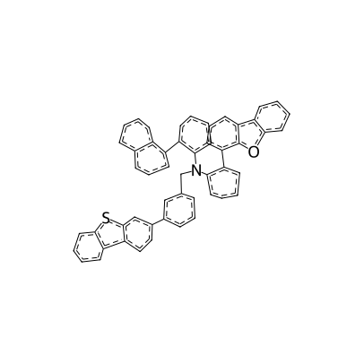 c1cc(CN(c2ccccc2-c2cccc3ccccc23)c2ccccc2-c2cccc3c2oc2ccccc23)cc(-c2ccc3c(c2)sc2ccccc23)c1